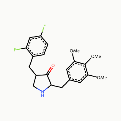 COc1cc(CC2NCC(Cc3ccc(F)cc3F)C2=O)cc(OC)c1OC